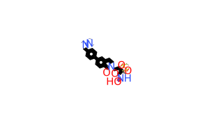 CN(C)N(C)Cc1ccc(-c2ccc3c(=O)n(CC[C@](C)(C(=O)NO)S(C)(=O)=O)ccc3c2)cc1